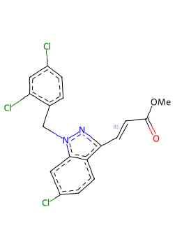 COC(=O)/C=C/c1nn(Cc2ccc(Cl)cc2Cl)c2cc(Cl)ccc12